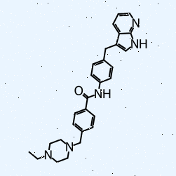 CCN1CCN(Cc2ccc(C(=O)Nc3ccc(Cc4c[nH]c5ncccc45)cc3)cc2)CC1